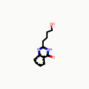 O=c1[nH]c(CCCCO)nc2ccccc12